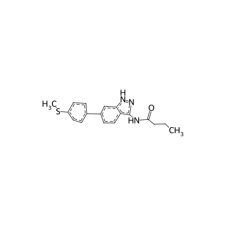 CCCC(=O)Nc1n[nH]c2cc(-c3ccc(SC)cc3)ccc12